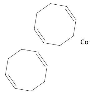 C1=CCCC=CCC1.C1=CCCC=CCC1.[Co]